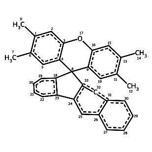 Cc1cc2c(cc1C)C1(c3cc(C)c(C)cc3O2)c2ccccc2-c2cc3ccccc3cc21